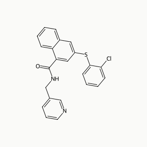 O=C(NCc1cccnc1)c1cc(Sc2ccccc2Cl)cc2ccccc12